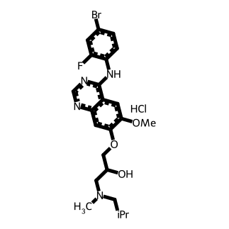 COc1cc2c(Nc3ccc(Br)cc3F)ncnc2cc1OCC(O)CN(C)CC(C)C.Cl